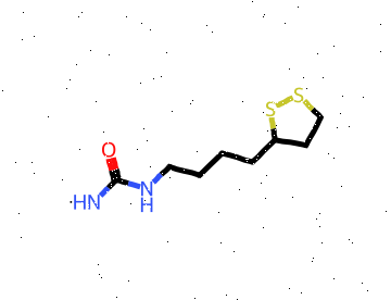 [NH]C(=O)NCCCCC1CCSS1